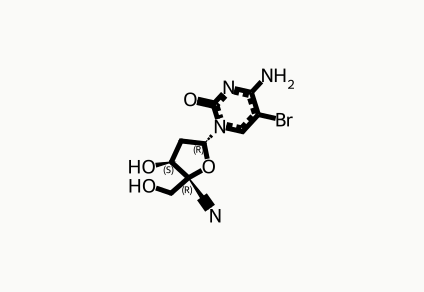 N#C[C@]1(CO)O[C@@H](n2cc(Br)c(N)nc2=O)C[C@@H]1O